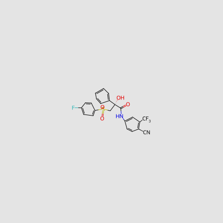 N#Cc1ccc(NC(=O)[C@@](O)(CS(=O)(=O)c2ccc(F)cc2)c2ccccc2)cc1C(F)(F)F